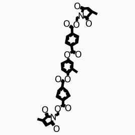 CC1=CC(=O)N(COC(=O)c2ccc(C(=O)Oc3ccc(OC(=O)c4ccc(C(=O)OCN5C(=O)C=C(C)C5=O)cc4)c(C)c3)cc2)C1=O